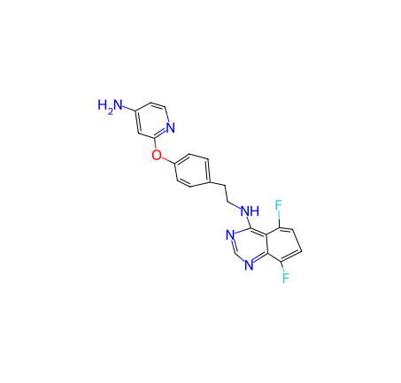 Nc1ccnc(Oc2ccc(CCNc3ncnc4c(F)ccc(F)c34)cc2)c1